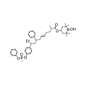 CCC(CC(C/C=C/CCC(C)C(=O)OC1CC(C)(C)N(O)C(C)(C)C1)c1ccccc1)c1ccc(OP(C)(=O)Oc2ccccc2)cc1